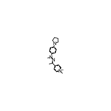 C/C(=N\N(C)c1ccc(N2CCCC2)cc1)c1cc[n+](C)cc1